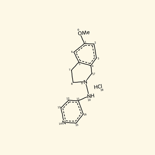 COc1ccc2c(c1)CCN(Nc1ccncc1)C2.Cl